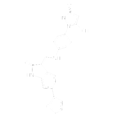 Cc1cc(=O)[nH]n1-c1ccc(N/C=C2/C(=O)Nc3cc(-c4ccco4)ccc32)cc1